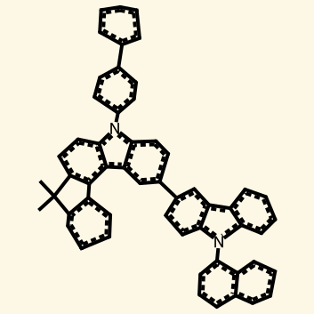 CC1(C)c2ccccc2-c2c1ccc1c2c2cc(-c3ccc4c(c3)c3ccccc3n4-c3cccc4ccccc34)ccc2n1-c1ccc(-c2ccccc2)cc1